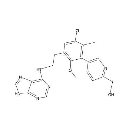 COc1c(CCNc2ncnc3[nH]cnc23)cc(Cl)c(C)c1-c1ccc(CO)nc1